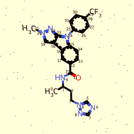 CC(CCn1cncn1)NC(=O)c1ccc2c(c1)c1cn(C)nc1n2-c1ccc(C(F)(F)F)cc1